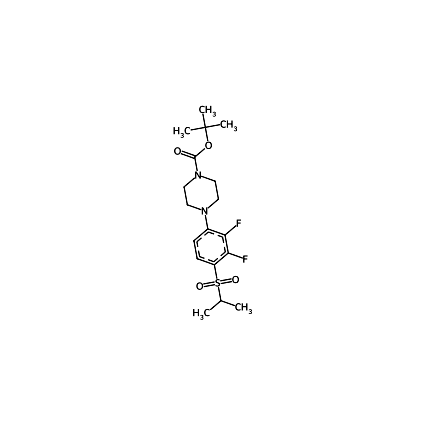 CC(C)S(=O)(=O)c1ccc(N2CCN(C(=O)OC(C)(C)C)CC2)c(F)c1F